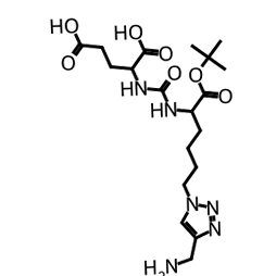 CC(C)(C)OC(=O)C(CCCCn1cc(CN)nn1)NC(=O)NC(CCC(=O)O)C(=O)O